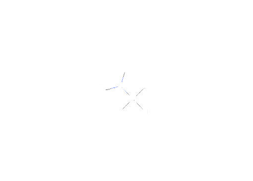 CCC[Si](C(C)C)(N(CC)CC)C(C)(C)C